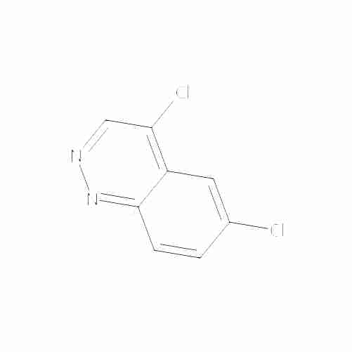 Clc1ccc2nncc(Cl)c2c1